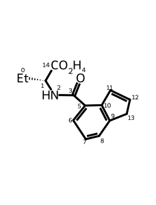 CC[C@@H](NC(=O)c1cccc2c1C=CC2)C(=O)O